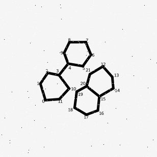 C1CCC(C2CCCCC2)CC1.C1CCC2CCCCC2C1